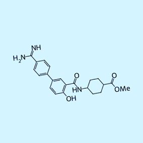 COC(=O)C1CCC(NC(=O)c2cc(-c3ccc(C(=N)N)cc3)ccc2O)CC1